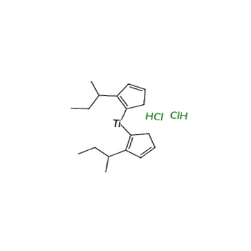 CCC(C)C1=[C]([Ti][C]2=C(C(C)CC)C=CC2)CC=C1.Cl.Cl